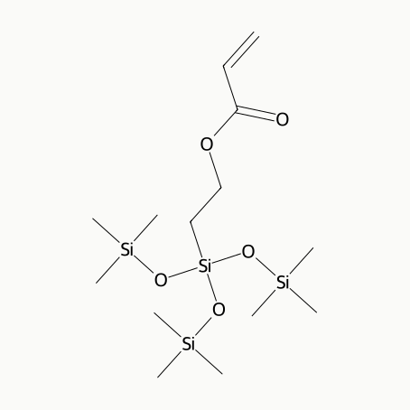 C=CC(=O)OCC[Si](O[Si](C)(C)C)(O[Si](C)(C)C)O[Si](C)(C)C